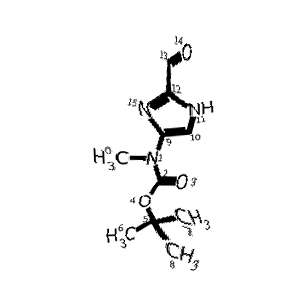 CN(C(=O)OC(C)(C)C)c1c[nH]c(C=O)n1